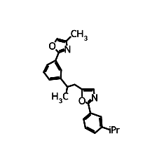 Cc1coc(-c2cccc(C(C)Cc3cnc(-c4cccc(C(C)C)c4)o3)c2)n1